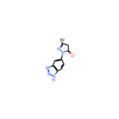 CC(=O)C1=NN(c2ccc3[nH]nnc3c2)C(=O)C1